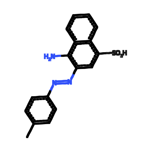 Cc1ccc(N=Nc2cc(S(=O)(=O)O)c3ccccc3c2N)cc1